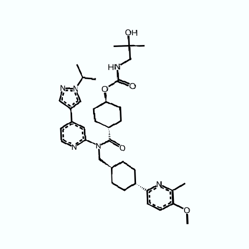 COc1ccc([C@H]2CC[C@H](CN(c3cc(-c4cnn(C(C)C)c4)ccn3)C(=O)[C@H]3CC[C@H](OC(=O)NCC(C)(C)O)CC3)CC2)nc1C